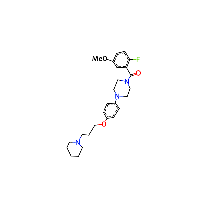 COc1ccc(F)c(C(=O)N2CCN(c3ccc(OCCCN4CCCCC4)cc3)CC2)c1